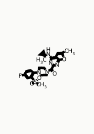 Cc1cc2c(NC3(C)CC3)nc(C(=O)N3CCN(c4ccc(F)cc4S(C)(=O)=O)CC3)nc2o1